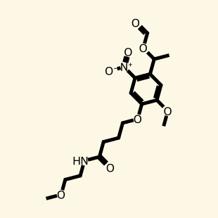 COCCNC(=O)CCCOc1cc([N+](=O)[O-])c(C(C)OC=O)cc1OC